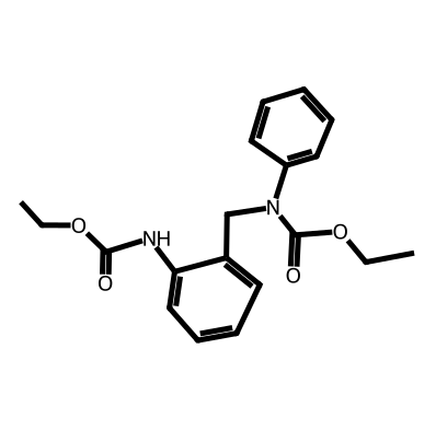 CCOC(=O)Nc1ccccc1CN(C(=O)OCC)c1ccccc1